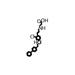 Cl.O=C(O)CCNC/C=C/c1ccc(OCCc2ccc(-c3ccccc3)cc2)cc1Cl